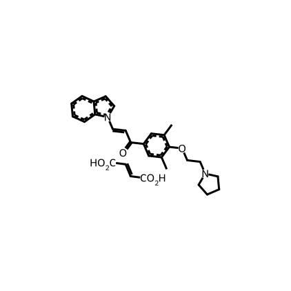 Cc1cc(C(=O)/C=C/n2ccc3ccccc32)cc(C)c1OCCN1CCCC1.O=C(O)/C=C/C(=O)O